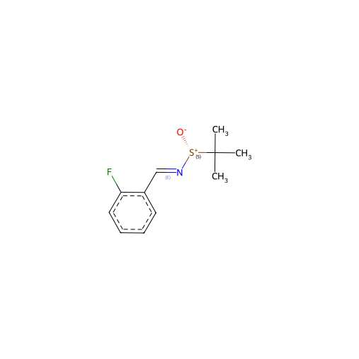 CC(C)(C)[S@@+]([O-])/N=C/c1ccccc1F